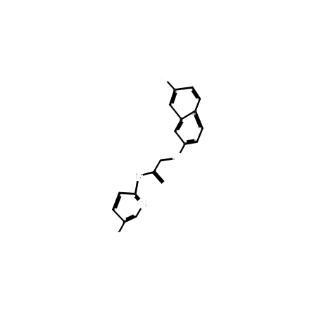 O=C(COc1ccc2ccc(Br)cc2c1)Nc1ccc(Cl)cn1